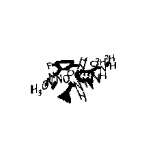 [2H]C([2H])([2H])NC(=O)c1nnc(NC(=O)C2CC2)cc1Nc1ccc(F)c(-c2ncn(C)n2)c1OC